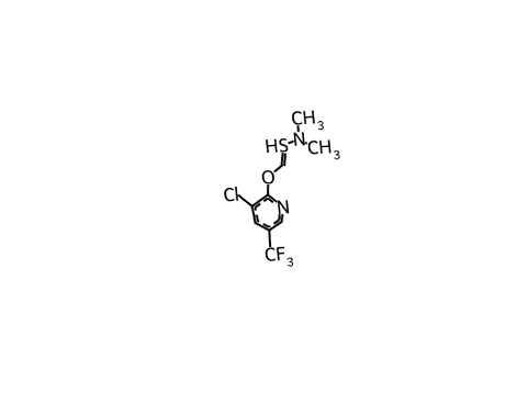 CN(C)[SH]=COc1ncc(C(F)(F)F)cc1Cl